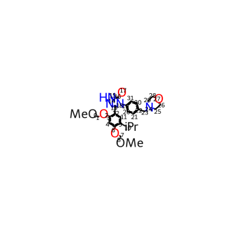 COCOc1cc(OCOC)c(C(C)C)cc1-c1n[nH]c(=O)n1-c1ccc(CN2CCOCC2)cc1